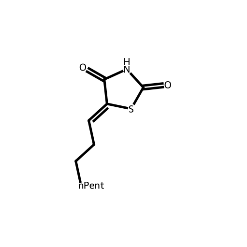 CCCCCCC/C=C1\SC(=O)NC1=O